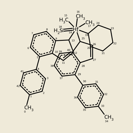 Cc1ccc(-c2cccc3c2C=C[CH]3[Hf]([CH3])([CH3])([CH3])(=[SiH2])([CH]2CCCCC2)[CH]2C=Cc3c(-c4ccc(C)cc4)cccc32)cc1